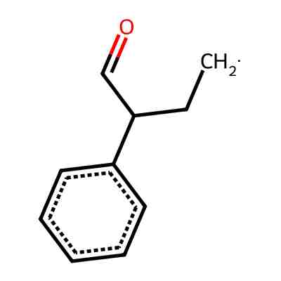 [CH2]CC(C=O)c1ccccc1